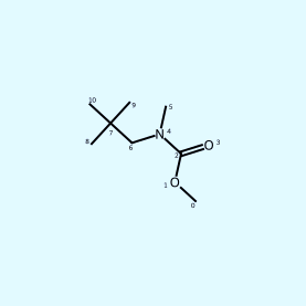 COC(=O)N(C)CC(C)(C)C